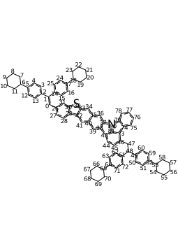 C(=C(c1ccc(C2CCCCC2)cc1)c1ccc(C2CCCCC2)cc1)c1ccc2c(c1)sc1cc3cc4c(cc3cc12)c1ccc(CC(c2ccc(C3CCCCC3)cc2)c2ccc(C3CCCCC3)cc2)c2c3ccccc3n4c12